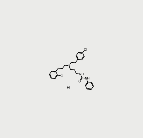 I.O=C(NCCCN(CCCc1ccccc1Cl)CCc1ccc(Cl)cc1)Nc1ccccc1